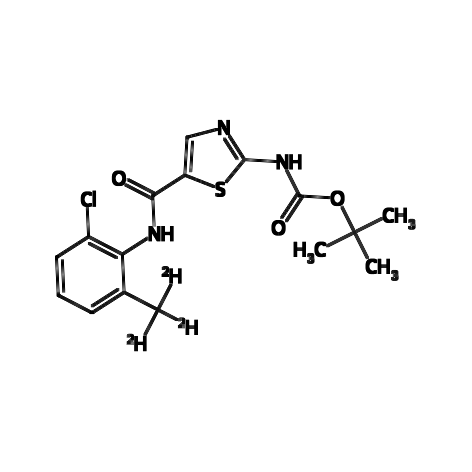 [2H]C([2H])([2H])c1cccc(Cl)c1NC(=O)c1cnc(NC(=O)OC(C)(C)C)s1